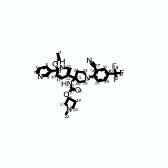 CCOC1(c2cccnc2)C=CC(C2(NC(=O)O[C@H]3CCN(C)C3)CCN(c3ccc(C(F)(F)F)cc3C#N)CC2)=CN1